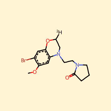 [2H]C1CN(CCN2CCCC2=O)c2cc(OC)c(Br)cc2O1